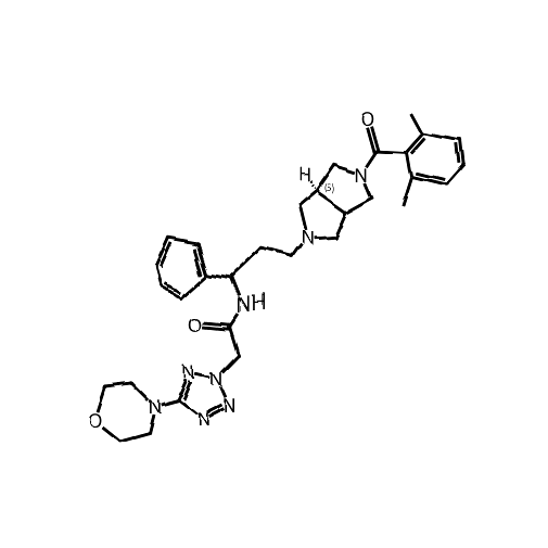 Cc1cccc(C)c1C(=O)N1CC2CN(CCC(NC(=O)Cn3nnc(N4CCOCC4)n3)c3ccccc3)C[C@H]2C1